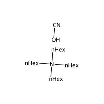 CCCCCC[N+](CCCCCC)(CCCCCC)CCCCCC.N#CO